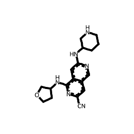 N#Cc1cc2cnc(NC3CCCNC3)cc2c(NC2CCOC2)n1